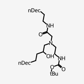 CCCCCCCCCCCCNC(=O)CN(CCNC(=O)OC(C)(C)C)CC(O)CCCCCCCCCCCC